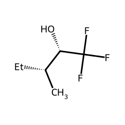 CC[C@@H](C)[C@H](O)C(F)(F)F